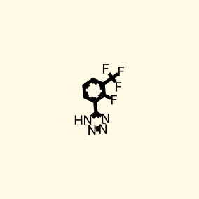 Fc1c(-c2nnn[nH]2)cccc1C(F)(F)F